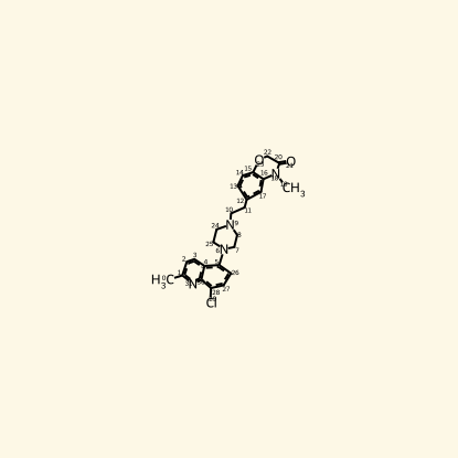 Cc1ccc2c(N3CCN(CCc4ccc5c(c4)N(C)C(=O)CO5)CC3)ccc(Cl)c2n1